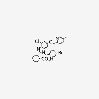 Cc1ccc(COc2cc(Cl)c3nc([C@H]4CCCC[C@H]4C(=O)O)n(Cc4ccc(Br)cc4)c3c2)nc1